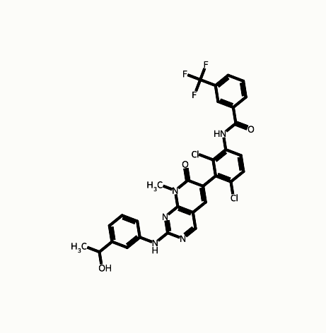 CC(O)c1cccc(Nc2ncc3cc(-c4c(Cl)ccc(NC(=O)c5cccc(C(F)(F)F)c5)c4Cl)c(=O)n(C)c3n2)c1